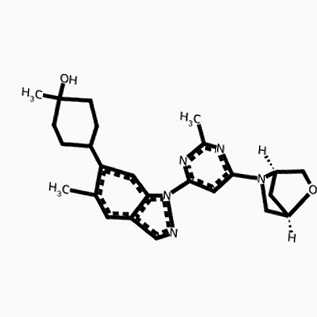 Cc1nc(N2C[C@H]3C[C@@H]2CO3)cc(-n2ncc3cc(C)c(C4CCC(C)(O)CC4)cc32)n1